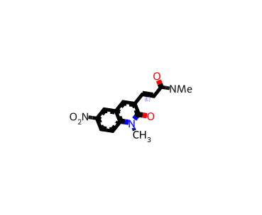 CNC(=O)/C=C/c1cc2cc([N+](=O)[O-])ccc2n(C)c1=O